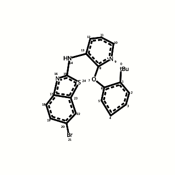 CC(C)(C)c1ccccc1Oc1ncccc1Nc1nc2ccc(Br)cc2s1